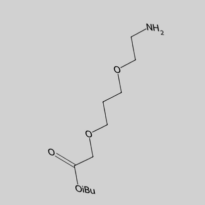 CC(C)COC(=O)COCCCOCCN